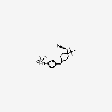 CC(C)(C)C1(CC#N)CCN(Cc2ccc(NS(C)(=O)=O)cc2)CC1